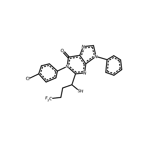 O=c1c2ncn(-c3ccccc3)c2nc(C(S)CCC(F)(F)F)n1-c1ccc(Cl)cc1